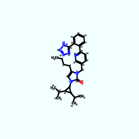 CCCCc1cn(C2C(C(C)C)C2C(C)C)c(=O)n1Cc1ccc(-c2ccccc2-c2nnn[nH]2)nc1